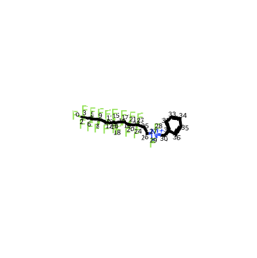 FC(F)(F)C(F)(F)C(F)(F)C(F)(F)C(F)(F)C(F)(F)C(F)(F)C(F)(F)CC[N+](F)(F)Cc1ccccc1